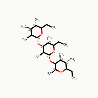 CCC1O[C@H](O[C@@H]2C(C)[C@@H](OC3[C@H](C)OC(CC)[C@@H](C)[C@@H]3C)OC(CC)[C@H]2C)C(C)[C@@H](C)[C@@H]1C